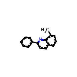 Cc1cccc2ccc(-c3ccccc3)nc12